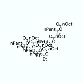 CCCCCCCCC(=O)OC(CC)CCCCC.CCCCCCCCC(=O)OC(CC)CCCCC.CCCCCCCCC(=O)OC(CC)CCCCC.CCCCCCCCC(=O)OC(CC)CCCCC.CCCCCCCCC(=O)OC(CC)CCCCC.CCCCCCCCC(=O)OC(CC)CCCCC